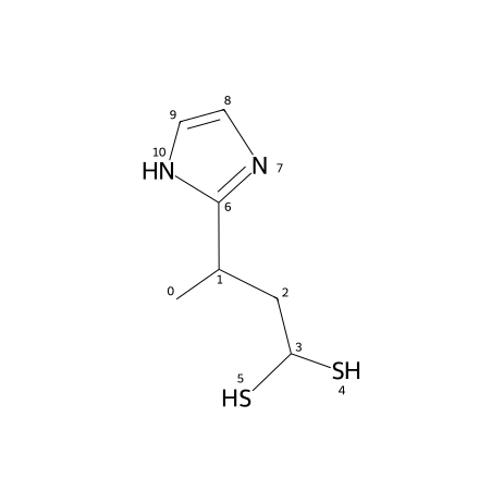 CC(CC(S)S)c1ncc[nH]1